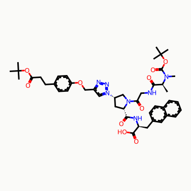 C[C@@H](C(=O)NCC(=O)N1C[C@@H](n2cc(COc3ccc(CCC(=O)OC(C)(C)C)cc3)nn2)C[C@H]1C(=O)N[C@@H](Cc1ccc2ccccc2c1)C(=O)O)N(C)C(=O)OC(C)(C)C